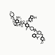 COc1ccc(CN2CCN(C3CC4(CCN(c5cc(Oc6cnc7[nH]ccc7c6)c(C(=O)NS(=O)(=O)c6cc(N)c(NCC7(F)CCOCC7)c7ocnc67)cc5F)CC4)C3)[C@H](c3ccccc3C(C)C)C2)cn1